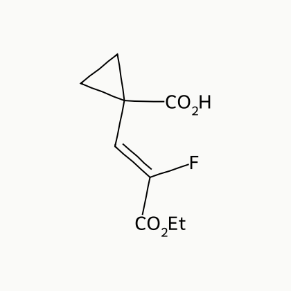 CCOC(=O)/C(F)=C/C1(C(=O)O)CC1